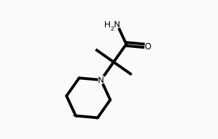 CC(C)(C(N)=O)N1CC[CH]CC1